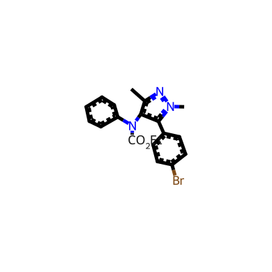 CCOC(=O)N(c1ccccc1)c1c(C)nn(C)c1-c1ccc(Br)cc1